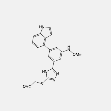 CONc1cc(-c2nnc(SCC=O)[nH]2)cc(-c2cccc3[nH]ccc23)c1